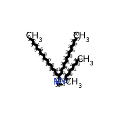 CCCCCCCCCCCCCCCCC(CCCCCCCCCCCCCC)c1nccn1C(C)CCCCCCCC